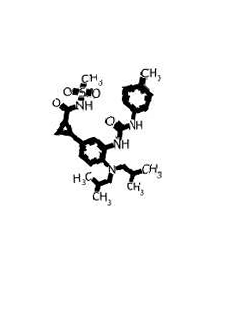 Cc1ccc(NC(=O)Nc2cc(C3CC3C(=O)NS(C)(=O)=O)ccc2N(CC(C)C)CC(C)C)cc1